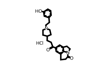 Cl.O=C(CCC1CCN(CCc2cccc(O)c2)CC1)c1cc2c3c(c1)CCN3C(=O)CC2